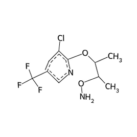 CC(ON)C(C)Oc1ncc(C(F)(F)F)cc1Cl